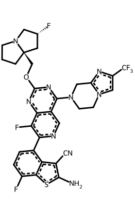 N#Cc1c(N)sc2c(F)ccc(-c3ncc4c(N5CCn6cc(C(F)(F)F)nc6C5)nc(OC[C@@]56CCCN5C[C@H](F)C6)nc4c3F)c12